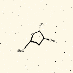 [CH2][C@H]1OC(OC)C[C@@H]1OC(C)=O